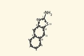 Nc1nc2cc3ccccc3cc2s1